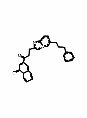 O=C(CCc1cn2cc(CCCc3ccccc3)ccc2n1)C1=CC(=O)C2C=CC=CC2=C1